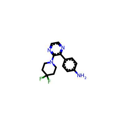 Nc1ccc(-c2nccnc2N2CCC(F)(F)CC2)cc1